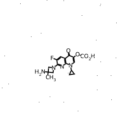 CC1(N)CN(c2nc3c(cc2F)c(=O)c(OC(=O)O)cn3C2CC2)C1